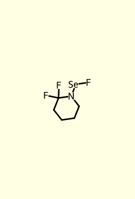 F[Se]N1CCCCC1(F)F